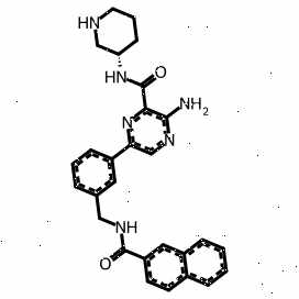 Nc1ncc(-c2cccc(CNC(=O)c3ccc4ccccc4c3)c2)nc1C(=O)N[C@H]1CCCNC1